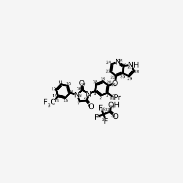 CC(C)c1cc(N2C(=O)CN(c3cccc(C(F)(F)F)c3)C2=O)ccc1Oc1ccnc2[nH]ccc12.O=C(O)C(F)(F)F